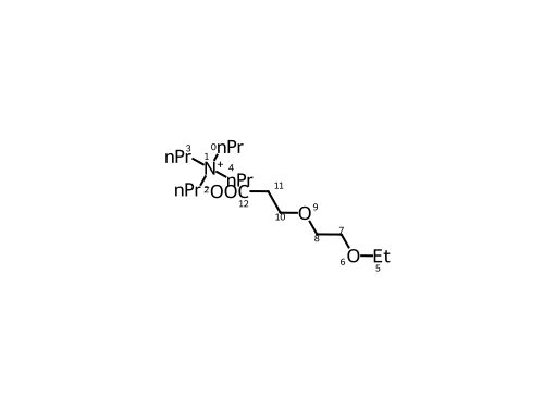 CCC[N+](CCC)(CCC)CCC.CCOCCOCCC(=O)[O-]